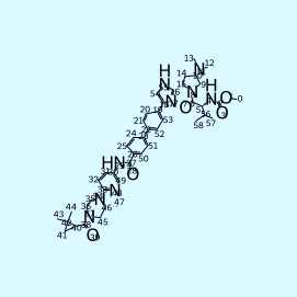 COC(=O)N[C@H](C(=O)N1C[C@@H](N(C)C)C[C@H]1c1nc(-c2ccc(-c3ccc(C(=O)Nc4ccc(N5CCN(C(=O)C6CC6(C)C)C[C@H]5C)nc4)cc3)cc2)c[nH]1)C(C)C